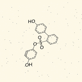 O=S(=O)(Oc1c#cc(O)cc1)c1ccccc1-c1ccc(O)cc1